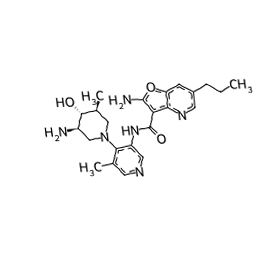 CCCc1cnc2c(C(=O)Nc3cncc(C)c3N3C[C@@H](N)[C@H](O)[C@@H](C)C3)c(N)oc2c1